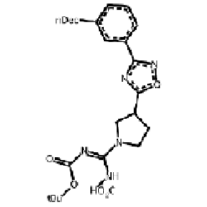 CCCCCCCCCCc1cccc(-c2noc(C3CCN(C(=NC(=O)OC(C)(C)C)NC(=O)O)C3)n2)c1